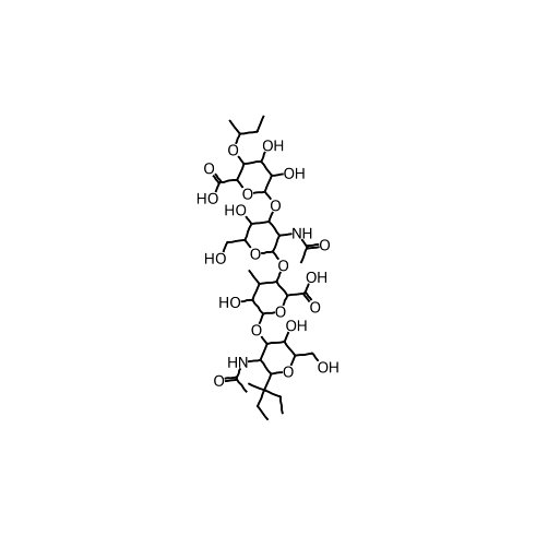 CCC(C)OC1C(C(=O)O)OC(OC2C(O)C(CO)OC(OC3C(C(=O)O)OC(OC4C(O)C(CO)OC(C(C)(CC)CC)C4NC(C)=O)C(O)C3C)C2NC(C)=O)C(O)C1O